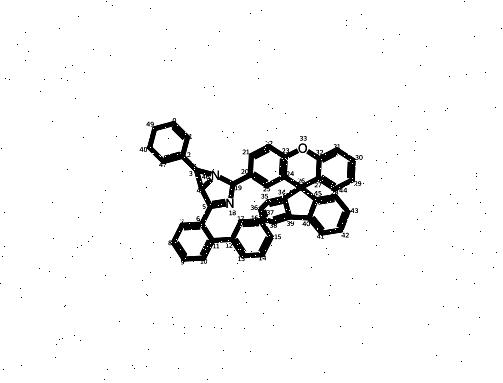 C1=CC(C2C3C(c4ccccc4-c4ccccc4)=NC(c4ccc5c(c4)C4(c6ccccc6O5)c5ccccc5-c5ccccc54)N23)=CCC1